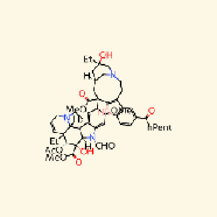 CCCCCC(=O)c1ccc2c(c1)C1=C(B2)[C@@](C(=O)OC)(C2C=C3C(=CC2OC)N(C=O)[C@H]2[C@@](O)(C(=O)OC)[C@H](OC(C)=O)[C@]4(CC)C=CCN5CC[C@]32[C@@H]54)C[C@@H]2CN(CC1)C[C@](O)(CC)C2